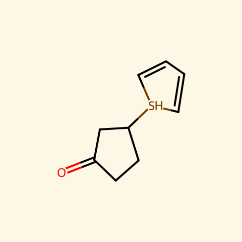 O=C1CCC([SH]2C=CC=C2)C1